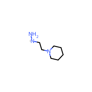 N[N]CCN1CCCCC1